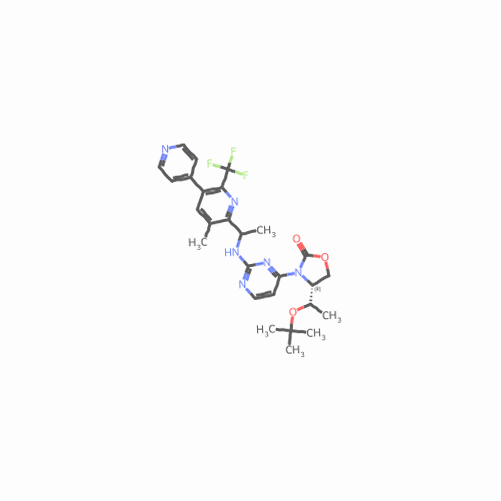 Cc1cc(-c2ccncc2)c(C(F)(F)F)nc1C(C)Nc1nccc(N2C(=O)OC[C@@H]2C(C)OC(C)(C)C)n1